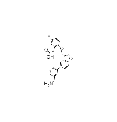 NCc1cccc(-c2ccc3occ(COc4ccc(F)cc4CC(=O)O)c3c2)c1